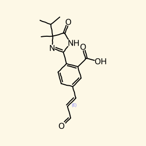 CC(C)C1(C)N=C(c2ccc(/C=C/C=O)cc2C(=O)O)NC1=O